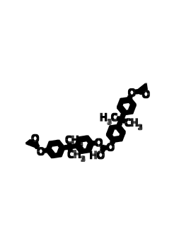 CC(C)(c1ccc(OC(O)Oc2ccc(C(C)(C)c3ccc(OC4CO4)cc3)cc2)cc1)c1ccc(OC2CO2)cc1